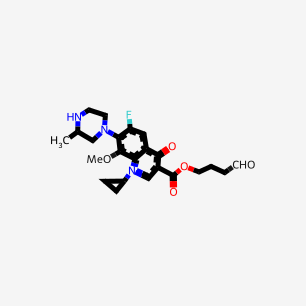 COc1c(N2CCNC(C)C2)c(F)cc2c(=O)c(C(=O)OCCCC=O)cn(C3CC3)c12